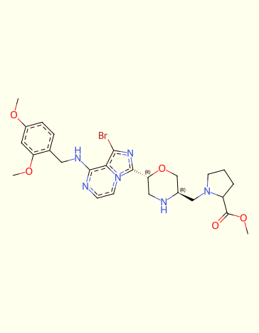 COC(=O)C1CCCN1C[C@@H]1CO[C@@H](c2nc(Br)c3c(NCc4ccc(OC)cc4OC)nccn23)CN1